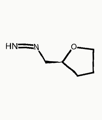 N=NC[C@@H]1CCCO1